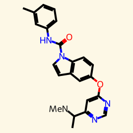 CNC(C)c1cc(Oc2ccc3c(ccn3C(=O)Nc3cccc(C)c3)c2)ncn1